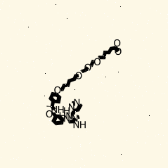 COC(=O)CCCCCOCCOCCOCCCCCCOc1ccc([C@@H](C)NC(=O)c2cccc(NCC(=N)N(C)C(=N)c3ccncn3)c2)cc1